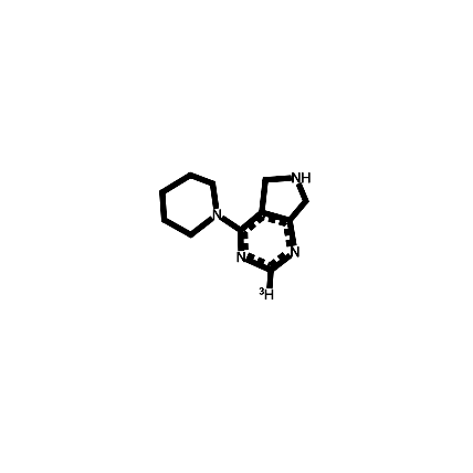 [3H]c1nc2c(c(N3CCCCC3)n1)CNC2